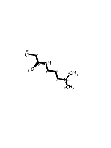 CN(C)CCCNC(=O)CCl